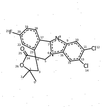 CC1(C)CC2(Cn3c(nc4cc(Cl)c(Cl)cc43)-c3ccc(F)cc32)C(=O)O1